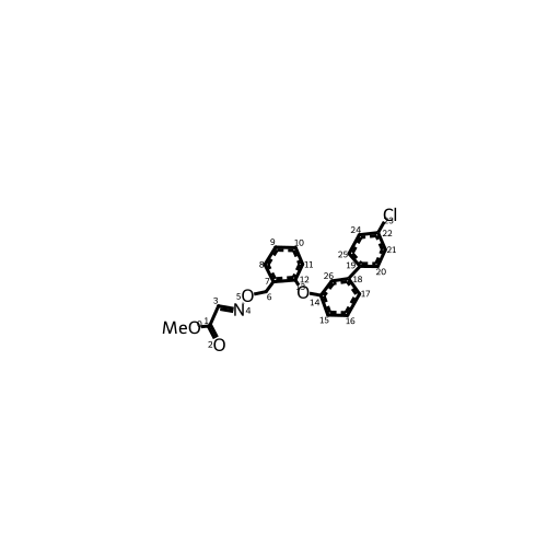 COC(=O)C=NOCc1ccccc1Oc1cccc(-c2ccc(Cl)cc2)c1